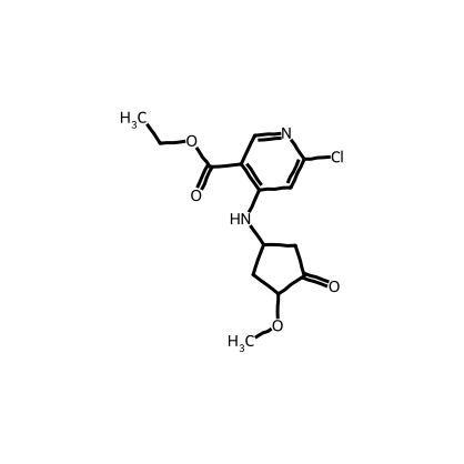 CCOC(=O)c1cnc(Cl)cc1NC1CC(=O)C(OC)C1